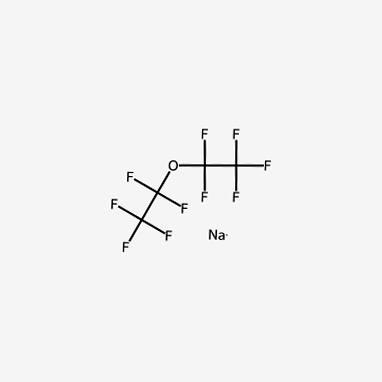 FC(F)(F)C(F)(F)OC(F)(F)C(F)(F)F.[Na]